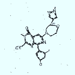 CCc1nc2c(-c3ccc(Cl)cc3F)nc(N3CCO[C@H](c4cnn(C)c4)C3)cc2c(=O)n1C